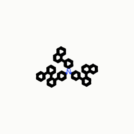 c1ccc(-c2ccccc2-c2ccccc2-c2ccc(N(c3ccc(-c4ccccc4-c4cccc5ccccc45)cc3)c3cccc(-c4cccc5ccccc45)c3)cc2)cc1